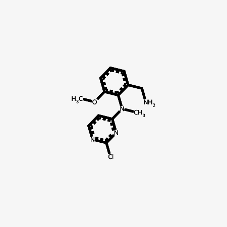 COc1cccc(CN)c1N(C)c1ccnc(Cl)n1